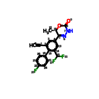 C#Cc1cc(C2=NNC(=O)O[C@H]2C)cc(C(F)F)c1-c1ccc(F)cc1